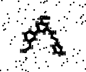 COc1nc(NCCc2c[nH]cn2)cc(-c2cccc(CO)c2)n1